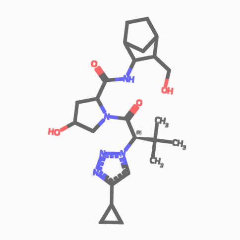 CC(C)(C)[C@H](C(=O)N1CC(O)CC1C(=O)NC1C2CCC(C2)C1CO)n1cc(C2CC2)nn1